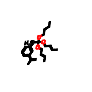 C=C(C)c1cccc([SiH2]C(OCCCC)(OCCCC)OCCCC)c1